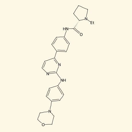 CCN1CCC[C@H]1C(=O)Nc1ccc(-c2ccnc(Nc3ccc(N4CCOCC4)cc3)n2)cc1